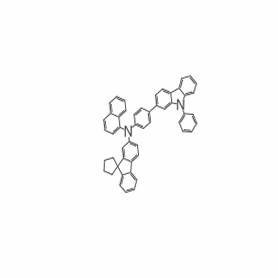 c1ccc(-n2c3ccccc3c3ccc(-c4ccc(N(c5ccc6c(c5)C5(CCCC5)c5ccccc5-6)c5cccc6ccccc56)cc4)cc32)cc1